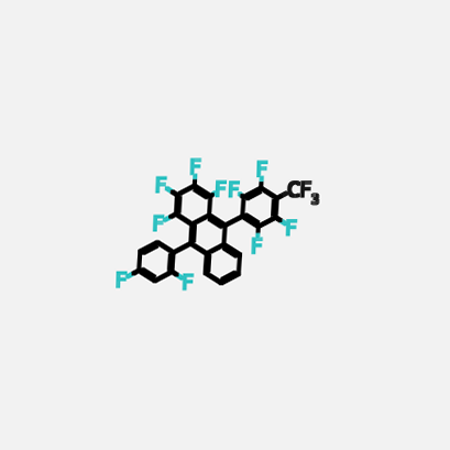 Fc1ccc(-c2c3ccccc3c(-c3c(F)c(F)c(C(F)(F)F)c(F)c3F)c3c(F)c(F)c(F)c(F)c23)c(F)c1